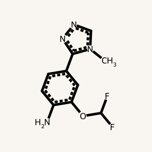 Cn1cnnc1-c1ccc(N)c(OC(F)F)c1